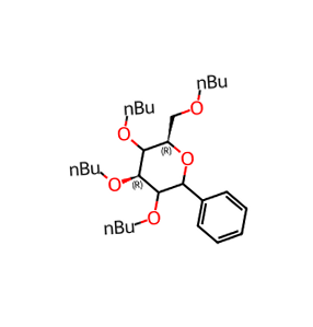 CCCCOC[C@H]1OC(c2ccccc2)C(OCCCC)[C@@H](OCCCC)C1OCCCC